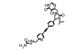 CC(C)N1C(=O)N(Cc2nc[nH]c(=O)c2O)CC1c1ccc(C#Cc2ccc(CNCC(N)=O)nc2)cc1